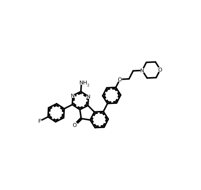 Nc1nc(-c2ccc(F)cc2)c2c(n1)-c1c(cccc1-c1ccc(OCCN3CCOCC3)cc1)C2=O